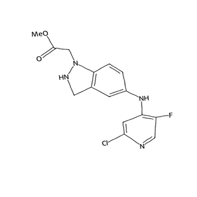 COC(=O)CN1NCc2cc(Nc3cc(Cl)ncc3F)ccc21